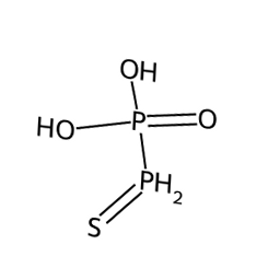 O=P(O)(O)[PH2]=S